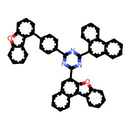 c1ccc2c(c1)cc(-c1nc(-c3ccc(-c4cccc5oc6ccccc6c45)cc3)nc(-c3cc4ccccc4c4c3oc3ccccc34)n1)c1ccccc12